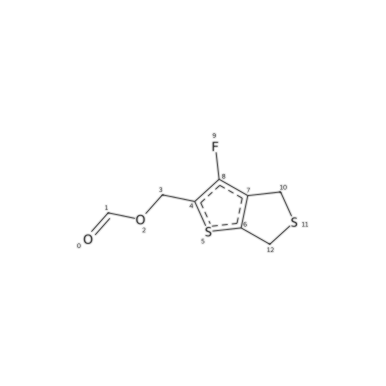 O=COCc1sc2c(c1F)CSC2